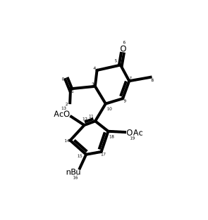 C=C(C)C1CC(=O)C(C)=CC1c1c(OC(C)=O)cc(CCCC)cc1OC(C)=O